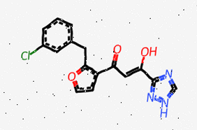 O=C(C=C(O)c1nc[nH]n1)c1ccoc1Cc1cccc(Cl)c1